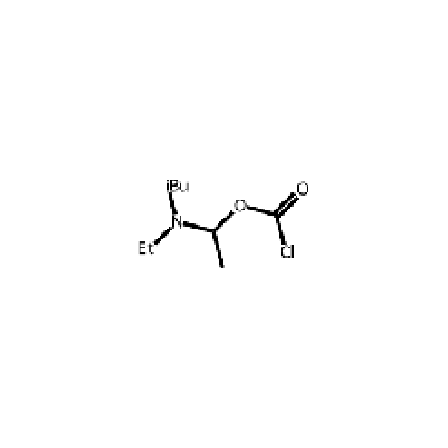 CCC(C)N(CC)C(C)OC(=O)Cl